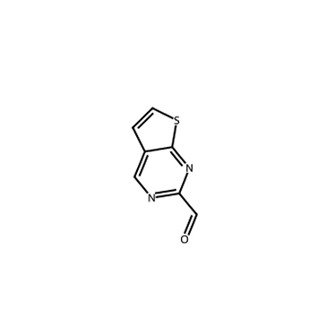 O=Cc1ncc2ccsc2n1